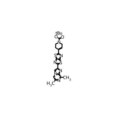 Cc1cn2cc(-c3nc4sc(C5=CCN(C(=O)OC(C)(C)C)CC5)nc4s3)nc2c(C)n1